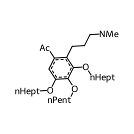 CCCCCCCOc1cc(C(C)=O)c(CCCNC)c(OCCCCCCC)c1OCCCCC